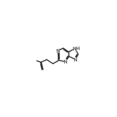 C=C(C)CCc1ncc2[nH]cnc2n1